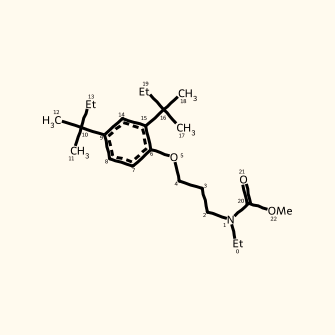 CCN(CCCOc1ccc(C(C)(C)CC)cc1C(C)(C)CC)C(=O)OC